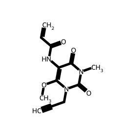 C#CCn1c(OC)c(NC(=O)C=C)c(=O)n(C)c1=O